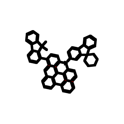 CC1(C)c2ccccc2-c2cccc(-c3ccc(N(c4ccc5c(c4)C4(CCCCC4)c4ccccc4-5)c4ccccc4-c4cccc5cccc(-c6ccccc6)c45)cc3)c21